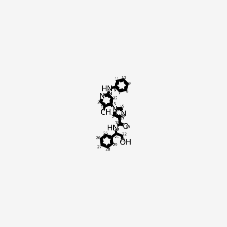 Cc1cnc(Nc2ccccc2)cc1-n1cnc(C(=O)NC(CO)c2ccccc2)c1